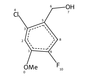 COc1cc(Cl)c(CO)cc1F